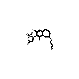 CC(C)CCN[C@@H]1CCCc2cc(O)c(N3CC(=O)NS3(=O)=O)c(F)c2C1